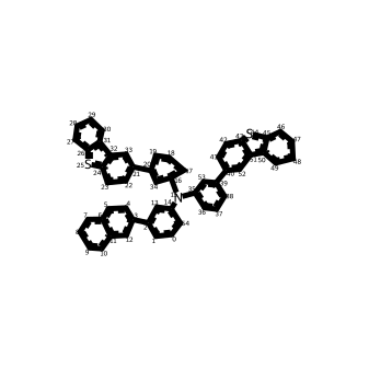 c1cc(-c2ccc3ccccc3c2)cc(N(c2cccc(-c3ccc4sc5ccccc5c4c3)c2)c2cccc(-c3ccc4sc5ccccc5c4c3)c2)c1